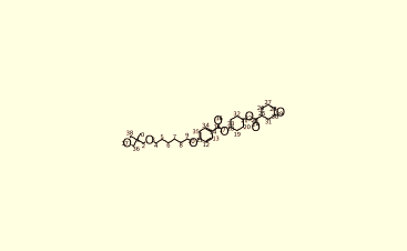 CC1(COCCCCCCOc2ccc(C(=O)OC3CCC(OC(=O)C4CCC5OC5C4)CC3)cc2)COC1